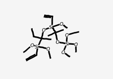 C=C[Si](OC)(OC(C)(CC)[Si](C=C)(OC)OC)C(C)(C)O[Si](OC)(OC)OC